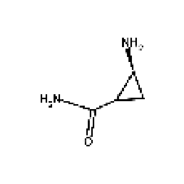 NC(=O)C1C[C@@H]1N